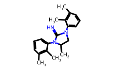 Cc1cccc(N2CC(C)N(c3cccc(C)c3C)C2=N)c1C